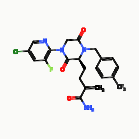 C=C(CC[C@H]1C(=O)N(c2ncc(Cl)cc2F)CC(=O)N1Cc1ccc(C(F)(F)F)cc1)C(N)=O